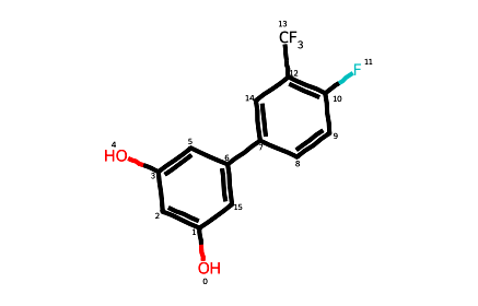 Oc1cc(O)cc(-c2ccc(F)c(C(F)(F)F)c2)c1